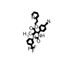 CC1=C(C(=O)OCCc2ccccn2)C(c2ccc(C#N)cc2)NC(=O)N1c1cccc(C(F)(F)F)c1